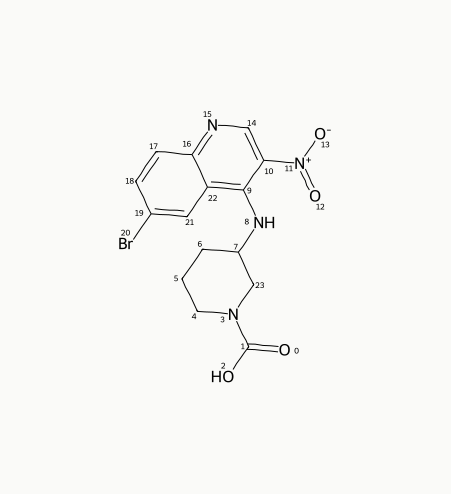 O=C(O)N1CCCC(Nc2c([N+](=O)[O-])cnc3ccc(Br)cc23)C1